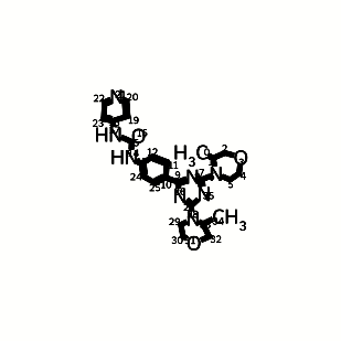 CC1COCCN1c1nc(-c2ccc(NC(=O)Nc3ccncc3)cc2)nc(N2CCOCC2C)n1